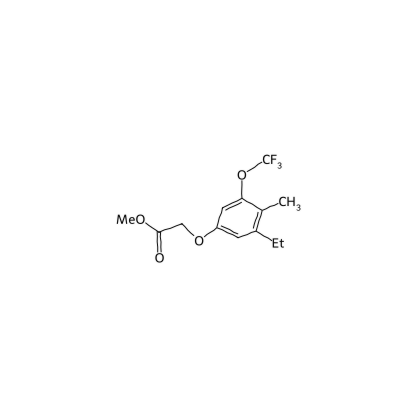 CCc1cc(OCC(=O)OC)cc(OC(F)(F)F)c1C